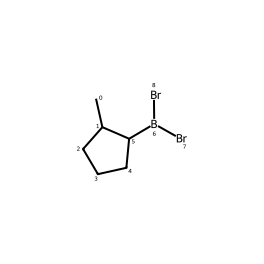 CC1CCCC1B(Br)Br